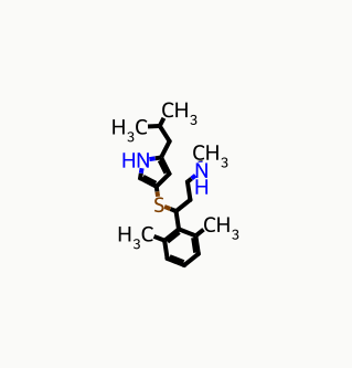 CNCCC(Sc1c[nH]c(CC(C)C)c1)c1c(C)cccc1C